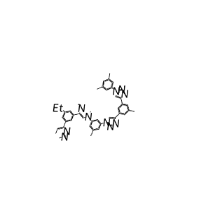 C=N/C(=C\N(C)c1cc(C)cc(-n2cc(-c3cc(C)cc(-c4cn(-c5cc(C)cc(C)c5)nn4)c3)nn2)c1)c1cc(CC)cc(C(=C/C)/N=N\C)c1